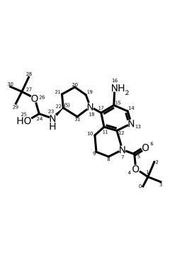 CC(C)(C)OC(=O)N1CCCc2c1ncc(N)c2N1CCC[C@H](NC(O)OC(C)(C)C)C1